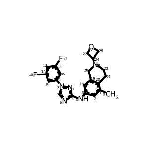 Cc1cc(Nc2ncn(-c3cc(F)cc(F)c3)n2)cc2c1CCN(C1COC1)C2